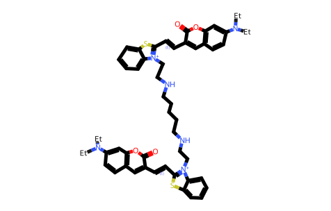 CCN(CC)c1ccc2cc(/C=C/c3sc4ccccc4[n+]3CCNCCCCCNCC[n+]3c(/C=C/c4cc5ccc(N(CC)CC)cc5oc4=O)sc4ccccc43)c(=O)oc2c1